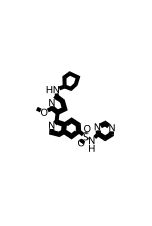 COc1nc(NC2CCCCC2)ccc1-c1nccc2cc(S(=O)(=O)Nc3ccncn3)ccc12